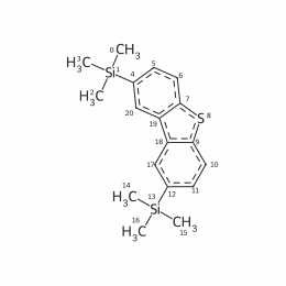 C[Si](C)(C)c1ccc2sc3ccc([Si](C)(C)C)cc3c2c1